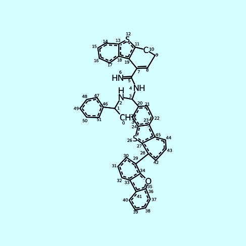 CC(NC(NC(=N)C1=CCCc2sc3ccccc3c21)c1ccc2c(c1)sc1c(-c3cccc4c3oc3ccccc34)cccc12)c1ccccc1